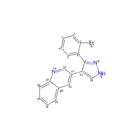 CCc1ccccc1-c1n[nH]cc1-c1cnc2ccccc2c1